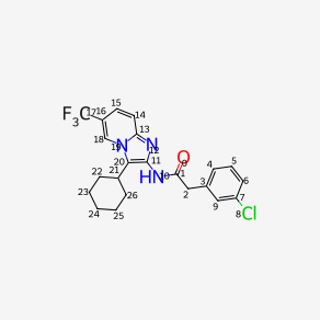 O=C(Cc1cccc(Cl)c1)Nc1nc2ccc(C(F)(F)F)cn2c1C1CCCCC1